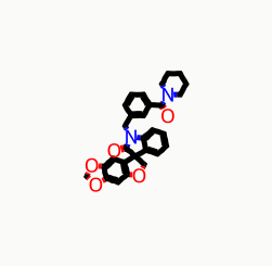 O=C(c1cccc(CN2C(=O)C3(COc4cc5c(cc43)OCO5)c3ccccc32)c1)N1CCCCC1